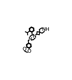 CC(C)c1ccccc1C1CN(Cc2ccc3c(c2)OCCO3)CCN1C1CC2(CCNCC2)C1